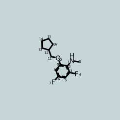 CNc1c(F)cc(F)cc1OCC1CCCC1